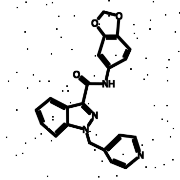 O=C(Nc1ccc2c(c1)OCO2)c1nn(Cc2ccncc2)c2ccccc12